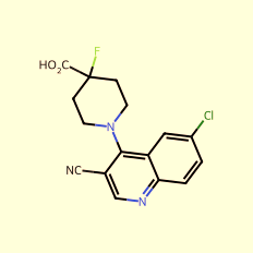 N#Cc1cnc2ccc(Cl)cc2c1N1CCC(F)(C(=O)O)CC1